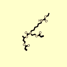 C=CC(=O)OCCC(C)OC(=O)N(CCCCCCNC(=O)OCC)CCOC(=O)C=C